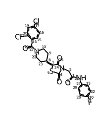 O=C(CN1C(=O)SC(=C2CCN(C(=O)c3ccc(Cl)cc3Cl)CC2)C1=O)Nc1ccc(F)cc1